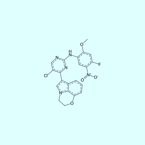 COc1cc(F)c([N+](=O)[O-])cc1Nc1ncc(Cl)c(-c2cn3c4c(cccc24)OCC3)n1